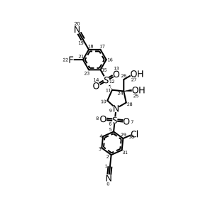 N#Cc1ccc(S(=O)(=O)N2C[C@H](S(=O)(=O)c3ccc(C#N)c(F)c3)[C@](O)(CO)C2)c(Cl)c1